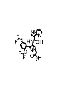 CN(C)C(=O)Cn1cc(NC(O)c2cnn3cccnc23)c(-c2cc(SC(F)F)ccc2OC(F)F)n1